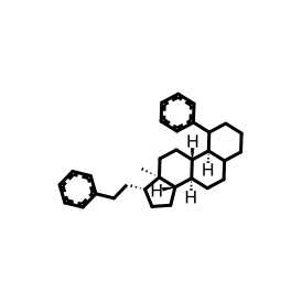 C[C@]12CC[C@@H]3[C@@H]4C(CCCC4c4ccccc4)CC[C@H]3[C@@H]1CC[C@@H]2CCc1ccccc1